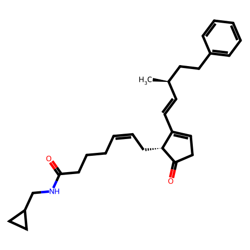 C[C@H](/C=C/C1=CCC(=O)[C@@H]1C/C=C\CCCC(=O)NCC1CC1)CCc1ccccc1